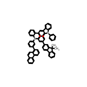 CC1(C)c2ccccc2-c2ccc(-c3cccc(N(c4cccc(-c5cccc6c5ccc5ccccc56)c4)c4ccccc4-c4ccc5c(c4)c4ccccc4n5-c4ccccc4)c3)cc21